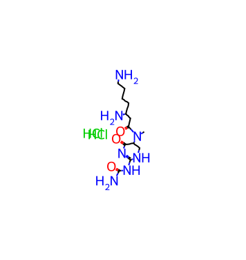 CN(C(=O)C[C@@H](N)CCCCN)C1CNC(NC(N)=O)=NC1=O.Cl.Cl